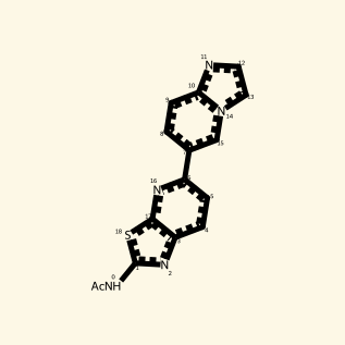 CC(=O)Nc1nc2ccc(-c3ccc4nccn4c3)nc2s1